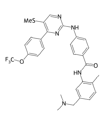 CSc1cnc(Nc2ccc(C(=O)Nc3cc(CN(C)C)ccc3C)cc2)nc1-c1ccc(OC(F)(F)F)cc1